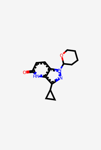 O=c1ccc2c([nH]1)c(C1CC1)nn2C1CCCCO1